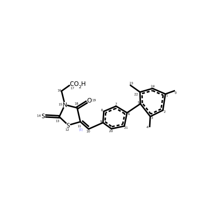 Cc1cc(C)c(-c2ccc(/C=C3/SC(=S)N(CC(=O)O)C3=O)cc2)c(C)c1